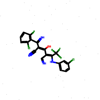 N#C/C(C(=N)c1c(F)cccc1Cl)=C(O)\C(C=N)=C(\Nc1cccc(Cl)c1)C(F)(F)F